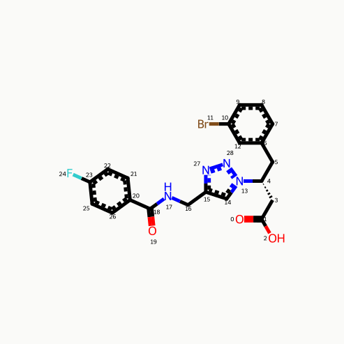 O=C(O)C[C@@H](Cc1cccc(Br)c1)n1cc(CNC(=O)c2ccc(F)cc2)nn1